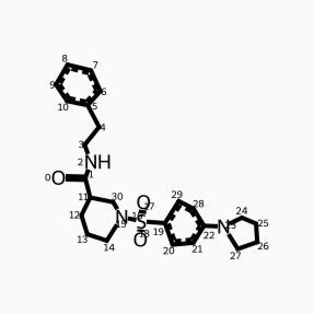 O=C(NCCc1ccccc1)C1CCCN(S(=O)(=O)c2ccc(N3CCCC3)cc2)C1